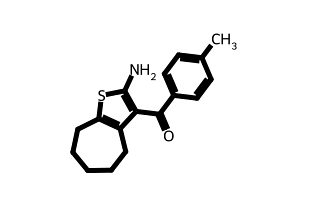 Cc1ccc(C(=O)c2c(N)sc3c2CCCCC3)cc1